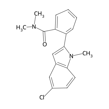 CN(C)C(=O)c1ccccc1-c1cc2cc(Cl)ccc2n1C